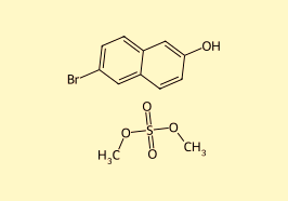 COS(=O)(=O)OC.Oc1ccc2cc(Br)ccc2c1